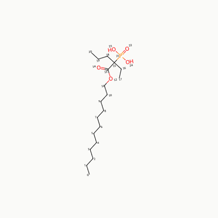 CCCCCCCCCCCCOC(=O)C(CC)(CCC)P(=O)(O)O